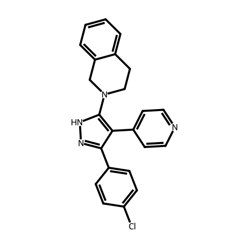 Clc1ccc(-c2n[nH]c(N3CCc4ccccc4C3)c2-c2ccncc2)cc1